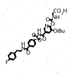 CC(C)COc1cc(C(=O)NS(=O)(=O)c2ccc(C(=O)NCCc3ccc(F)cc3)cc2)cnc1OC(=O)NCC(=O)O